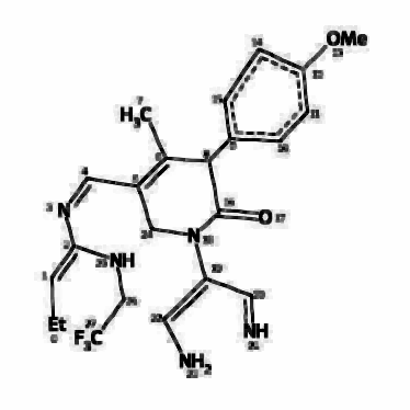 CC/C=C(/N=C\C1=C(C)C(c2ccc(OC)cc2)C(=O)N(/C(C=N)=C/N)C1)NCC(F)(F)F